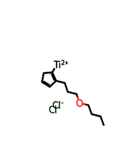 CCCCOCCCC1=[C]([Ti+2])CC=C1.[Cl-].[Cl-]